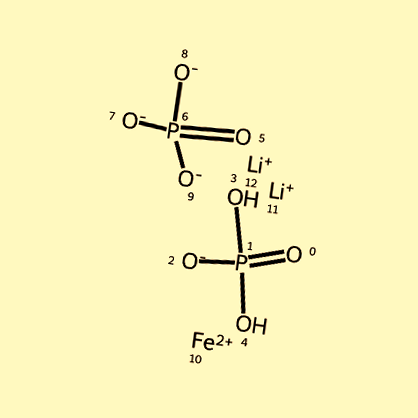 O=P([O-])(O)O.O=P([O-])([O-])[O-].[Fe+2].[Li+].[Li+]